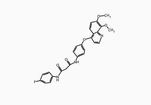 COc1ccc2c(Oc3ccc(NC(=O)CC(=O)Nc4ccc(F)cc4)cc3)ccnc2c1OC